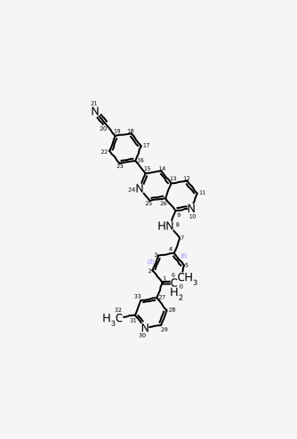 C=C(/C=C\C(=C/C)CNc1nccc2cc(-c3ccc(C#N)cc3)ncc12)c1ccnc(C)c1